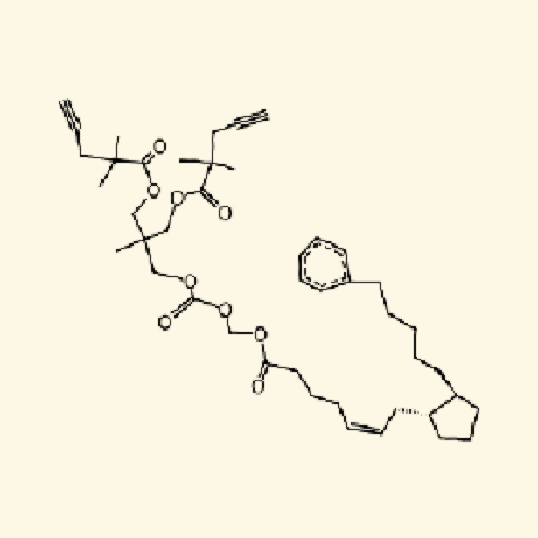 C#CCC(C)(C)C(=O)OCC(C)(COC(=O)OCOC(=O)CCC/C=C\C[C@H]1CCC[C@@H]1CCCCCc1ccccc1)COC(=O)C(C)(C)CC#C